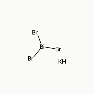 [Br][Bi]([Br])[Br].[KH]